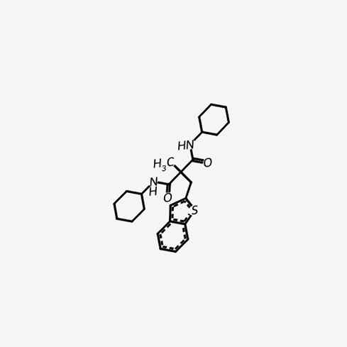 CC(Cc1cc2ccccc2s1)(C(=O)NC1CCCCC1)C(=O)NC1CCCCC1